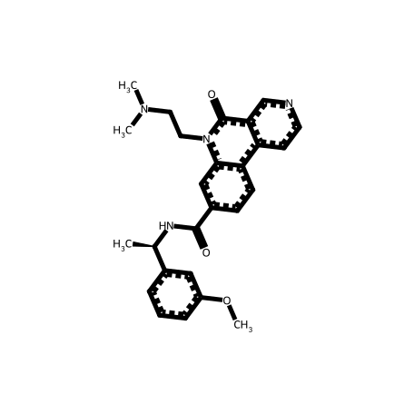 COc1cccc([C@@H](C)NC(=O)c2ccc3c4ccncc4c(=O)n(CCN(C)C)c3c2)c1